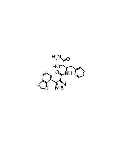 NC(=O)C(O)C(Cc1ccccc1)NC(=O)c1nsnc1-c1cccc2c1OCO2